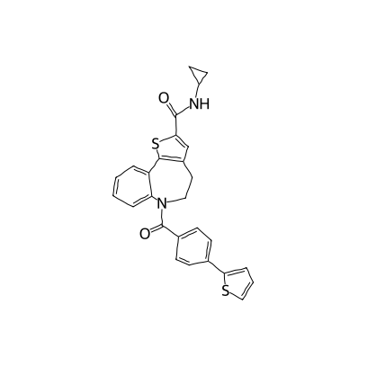 O=C(NC1CC1)c1cc2c(s1)-c1ccccc1N(C(=O)c1ccc(-c3cccs3)cc1)CC2